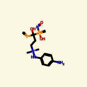 C=PC(O)(CC[N+](C)(C)Nc1ccc(N)cc1)P(=C)(O)N=O